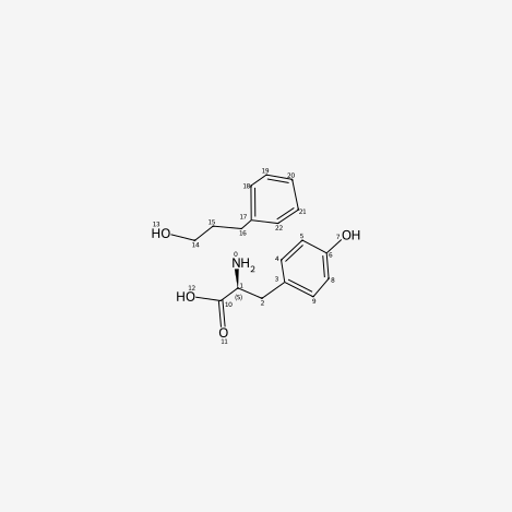 N[C@@H](Cc1ccc(O)cc1)C(=O)O.OCCCc1ccccc1